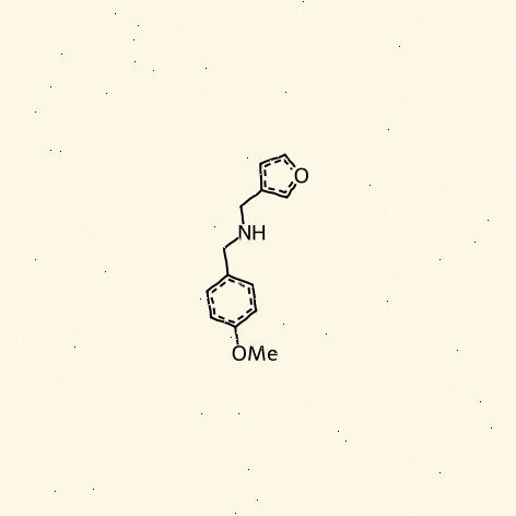 COc1ccc(CNCc2ccoc2)cc1